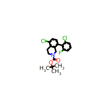 CC(C)(C)OC(=O)N1CCc2c(Cl)ccc(-c3c(F)cccc3Cl)c2C1